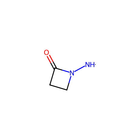 [NH]N1CCC1=O